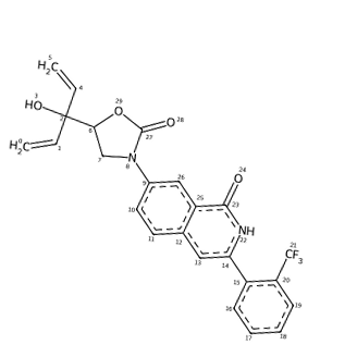 C=CC(O)(C=C)C1CN(c2ccc3cc(-c4ccccc4C(F)(F)F)[nH]c(=O)c3c2)C(=O)O1